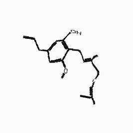 CCCc1cc(O)c(C/C=C(\C)CCC=C(C)C)c(OC)c1